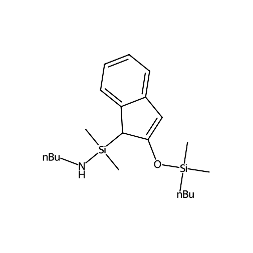 CCCCN[Si](C)(C)C1C(O[Si](C)(C)CCCC)=Cc2ccccc21